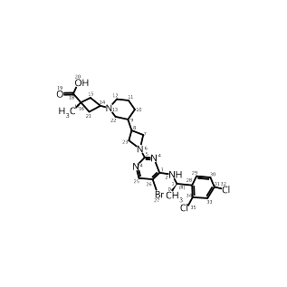 C[C@@H](Nc1nc(N2CC(C3CCCN(C4CC(C)(C(=O)O)C4)C3)C2)ncc1Br)c1ccc(Cl)cc1Cl